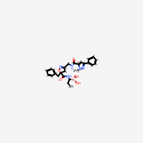 CC(C)CC(NC(=O)C1(Cc2ccccc2)CC(CNC(=O)c2cc(-c3ccccc3)nn2C(C)C)=NO1)B(O)O